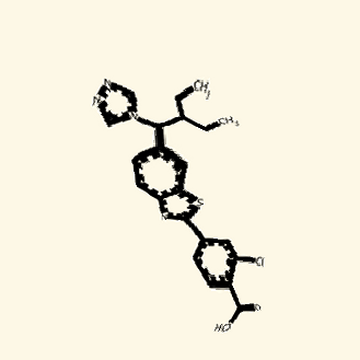 CCC(CC)C(c1ccc2nc(-c3ccc(C(=O)O)c(Cl)c3)sc2c1)n1cnnc1